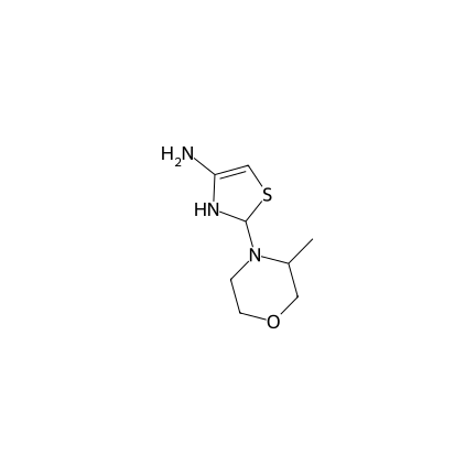 CC1COCCN1C1NC(N)=CS1